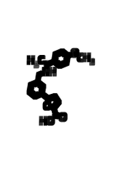 COc1ccc([C@@H](C)NCc2cccc(-c3ccc(C(=O)O)o3)c2)cc1